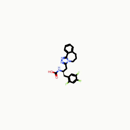 O=C(O)N[C@H](Cc1cc(F)c(F)cc1F)Cc1nnc2n1CCCc1ccccc1-2